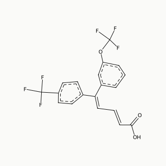 O=C(O)/C=C/C=C(/c1ccc(C(F)(F)F)cc1)c1cccc(OC(F)(F)F)c1